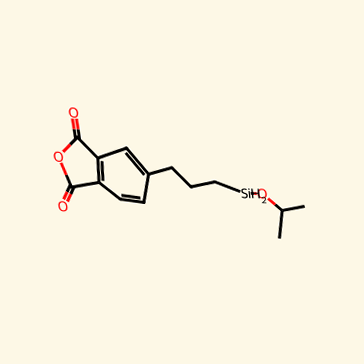 CC(C)O[SiH2]CCCc1ccc2c(c1)C(=O)OC2=O